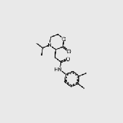 Cc1ccc(NC(=O)CC2C(=O)OCCN2C(C)C)cc1C